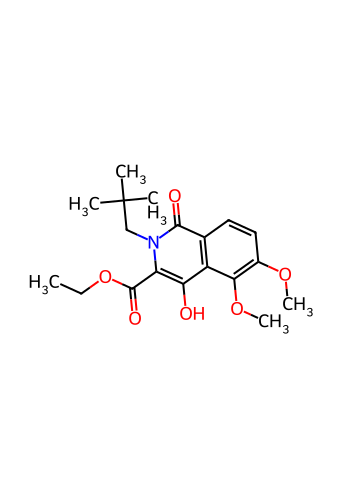 CCOC(=O)c1c(O)c2c(OC)c(OC)ccc2c(=O)n1CC(C)(C)C